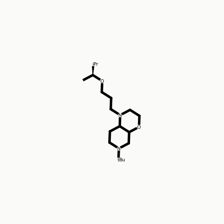 CC(C)[C@H](C)OCCCN1CCOC2CN(C(C)(C)C)CCC21